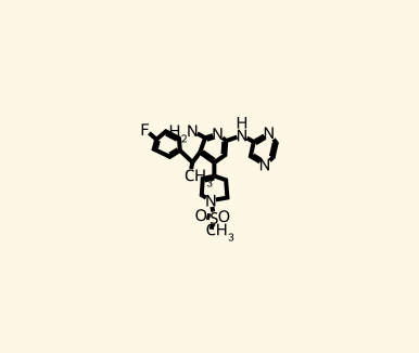 CC(c1ccc(F)cc1)c1c(C2=CCN(S(C)(=O)=O)CC2)cc(Nc2cnccn2)nc1N